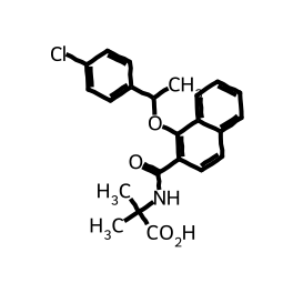 CC(Oc1c(C(=O)NC(C)(C)C(=O)O)ccc2ccccc12)c1ccc(Cl)cc1